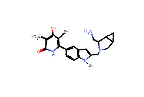 CCc1c(-c2ccc3c(c2)cc(CN2CC4CC4C2CN)n3C)[nH]c(=O)c(C(=O)O)c1O